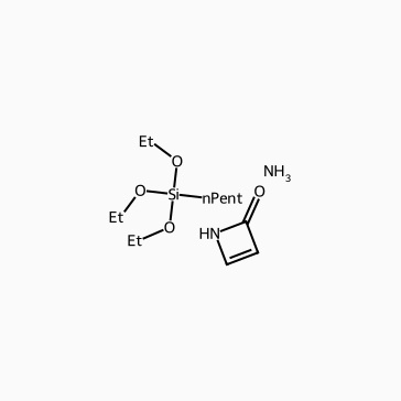 CCCCC[Si](OCC)(OCC)OCC.N.O=C1C=CN1